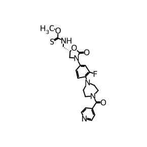 COC(=S)NC[C@H]1CN(c2ccc(N3CCN(C(=O)c4ccncc4)CC3)c(F)c2)C(=O)O1